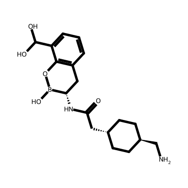 NC[C@H]1CC[C@H](CC(=O)N[C@H]2Cc3cccc(C(O)O)c3OB2O)CC1